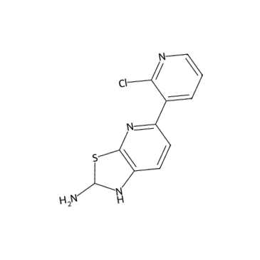 NC1Nc2ccc(-c3cccnc3Cl)nc2S1